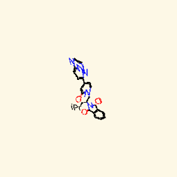 CC(C)C[C@@H](Cn1ccc(-c2ccc3nccn3n2)cc1=O)N1C(=O)c2ccccc2C1=O